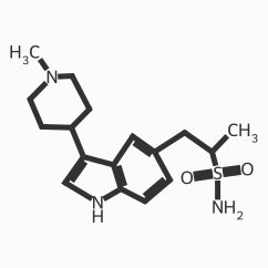 CC(Cc1ccc2[nH]cc(C3CCN(C)CC3)c2c1)S(N)(=O)=O